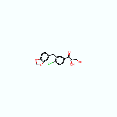 O=C(c1ccc(Cl)c(Cc2ccc3c(c2)OCO3)c1)[C@H](O)CO